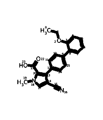 CCOc1ccccc1-c1ccc(-c2c(C#N)cn(C)c2C(=O)O)cc1